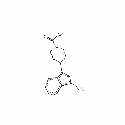 Cn1cc(C2CCN(C(=O)O)CC2)c2ccccc21